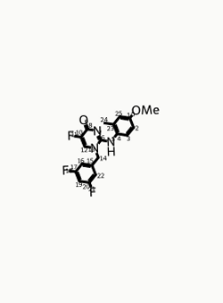 COc1ccc(Nc2nc(=O)c(F)cn2Cc2cc(F)cc(F)c2)c(C)c1